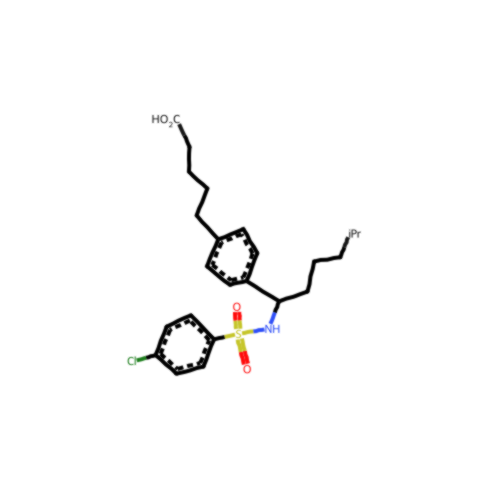 CC(C)CCCC(NS(=O)(=O)c1ccc(Cl)cc1)c1ccc(CCCCC(=O)O)cc1